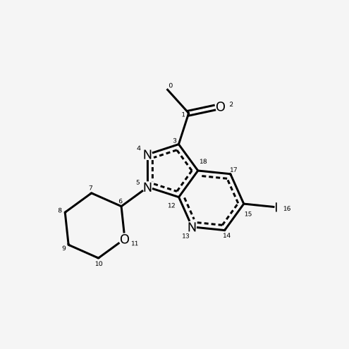 CC(=O)c1nn(C2CCCCO2)c2ncc(I)cc12